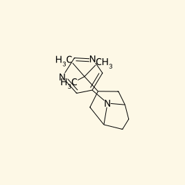 CC(C)(C)C1CC2CCC(C1)N2c1cncnc1